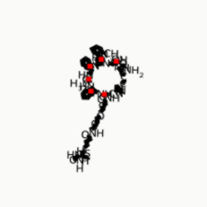 C[C@H]1NC(=O)[C@@H](Cc2ccccc2)NC(=O)[C@@H](NC(=O)COCCOCCOCCNC(=O)CCCC[C@@H]2SC[C@@H]3NC(=O)N[C@@H]32)Cc2cn(nn2)CCCC[C@@H](C(N)=O)NC(=O)[C@@H](CO)NC(=O)[C@H](Cc2cn(C)c3ccccc23)NC(=O)[C@@H](Cc2ccccc2)NC1=O